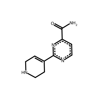 NC(=O)c1ccnc(C2=CCNCC2)n1